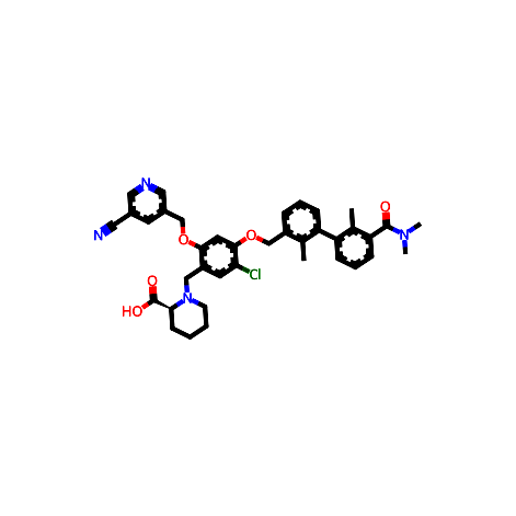 Cc1c(COc2cc(OCc3cncc(C#N)c3)c(CN3CCCC[C@H]3C(=O)O)cc2Cl)cccc1-c1cccc(C(=O)N(C)C)c1C